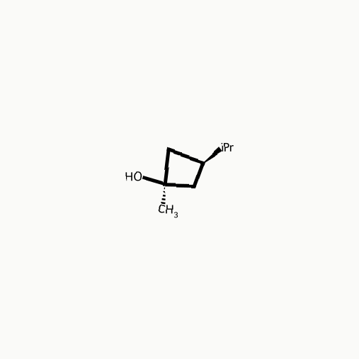 CC(C)[C@H]1C[C@@](C)(O)C1